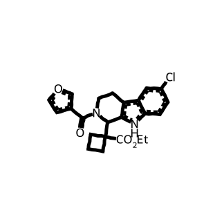 CCOC(=O)C1(C2c3[nH]c4ccc(Cl)cc4c3CCN2C(=O)c2ccoc2)CCC1